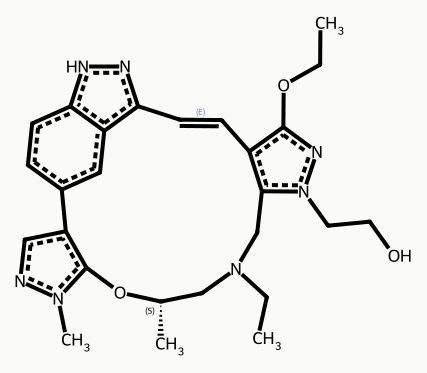 CCOc1nn(CCO)c2c1/C=C/c1n[nH]c3ccc(cc13)-c1cnn(C)c1O[C@@H](C)CN(CC)C2